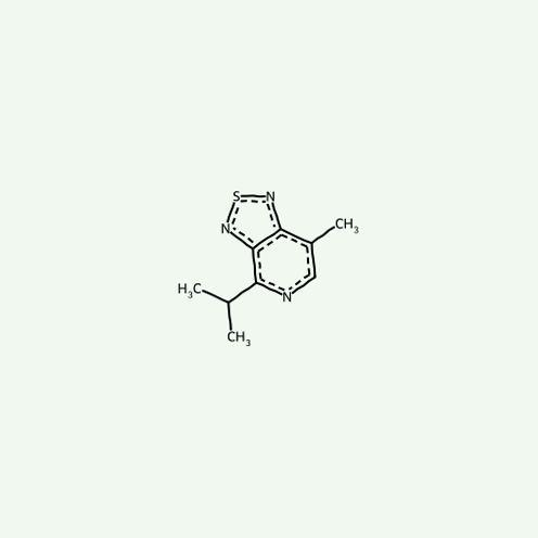 Cc1cnc(C(C)C)c2nsnc12